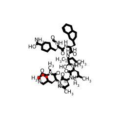 CC(=O)C[C@H](NC(=O)[C@H](CC(C)C)N[C@@H](O)[C@](C)(CC(C)C)NC(O)[C@H](CC1CCC2CCC=CC2C1)NC(=O)[C@H](CC1CCC(C(N)O)CC1)NC=O)C(=O)N[C@@H](CC1CCC=NC1)C(=O)N(C)CC(N)=O